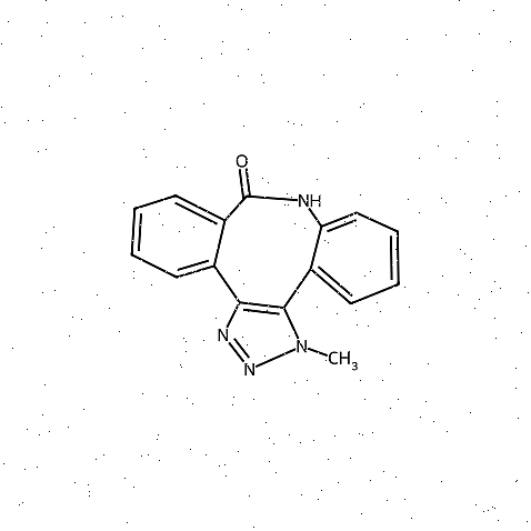 Cn1nnc2c1-c1ccccc1NC(=O)c1ccccc1-2